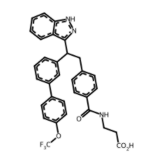 O=C(O)CCNC(=O)c1ccc(CC(c2cccc(-c3ccc(OC(F)(F)F)cc3)c2)c2n[nH]c3ccccc23)cc1